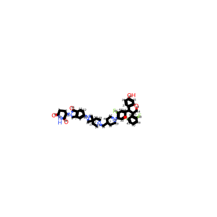 O=C1CCC(N2Cc3cc(N4CC5(CCN(CC6CCN(c7ccc(C8c9ccc(O)cc9OCC8c8c(F)cccc8F)cc7F)CC6)CC5)C4)ccc3C2=O)C(=O)N1